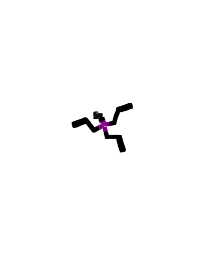 C=CCP(=[Se])(CC=C)CC=C